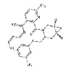 C=C(/N=C\C=C/N)c1ccc(C)nc1C(=O)N1C[C@@H]2C[C@@H]2CC1COc1cccc(C(F)(F)F)n1